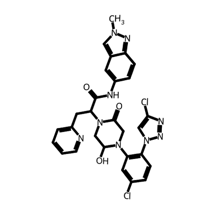 Cn1cc2cc(NC(=O)C(Cc3ccccn3)N3CC(O)N(c4cc(Cl)ccc4-n4cc(Cl)nn4)CC3=O)ccc2n1